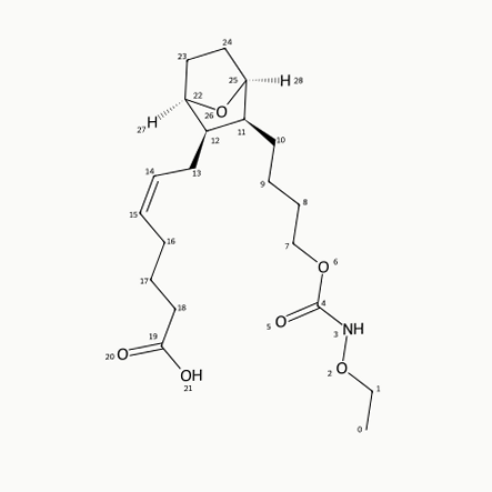 CCONC(=O)OCCCC[C@H]1[C@@H](C/C=C\CCCC(=O)O)[C@H]2CC[C@@H]1O2